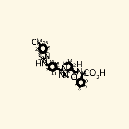 O=C(N[C@H](C(=O)O)c1ccccc1)c1cccn2c(-c3ccc(Nc4nc5ccc(Cl)cc5s4)cc3)nnc12